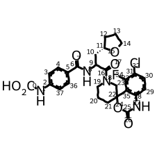 O=C(O)Nc1ccc(C(=O)NC(C[C@@H]2CCCO2)C(=O)N2CCCC3(C2)OC(=O)Nc2ccc(Cl)c(F)c23)cc1